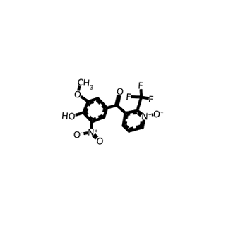 COc1cc(C(=O)c2ccc[n+]([O-])c2C(F)(F)F)cc([N+](=O)[O-])c1O